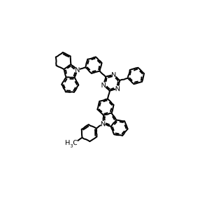 CC1C=CC(n2c3ccccc3c3cc(-c4nc(-c5ccccc5)nc(-c5cccc(-n6c7c(c8ccccc86)CCC=C7)c5)n4)ccc32)=CC1